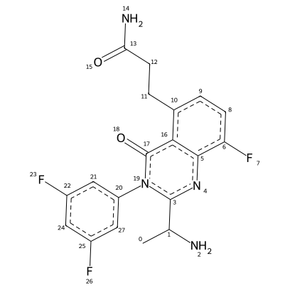 CC(N)c1nc2c(F)ccc(CCC(N)=O)c2c(=O)n1-c1cc(F)cc(F)c1